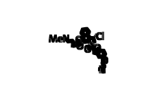 CNCCN(C)C(=O)Oc1cc2c(c3ccccc13)[C@H](CCl)CN2C(=O)c1cc2cc(OCCN(C)C)ccc2o1